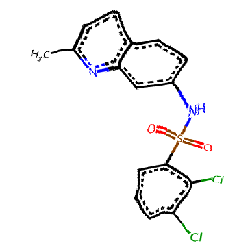 Cc1ccc2ccc(NS(=O)(=O)c3cccc(Cl)c3Cl)cc2n1